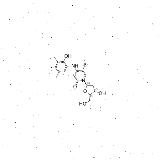 Cc1cc(C)c(O)c(Nc2nc(=O)n([C@H]3C[C@H](O)[C@@H](CO)O3)cc2Br)c1